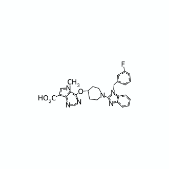 Cn1cc(C(=O)O)c2ncnc(OC3CCN(c4nc5ccccc5n4Cc4cccc(F)c4)CC3)c21